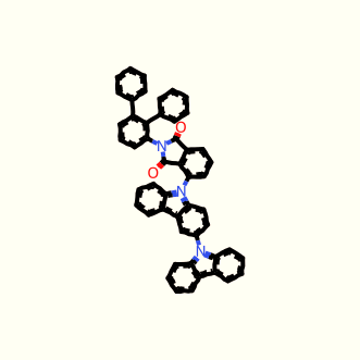 O=C1c2cccc(-n3c4ccccc4c4cc(-n5c6ccccc6c6ccccc65)ccc43)c2C(=O)N1c1cccc(-c2ccccc2)c1-c1ccccc1